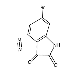 N#N.O=C1Nc2cc(Br)ccc2C1=O